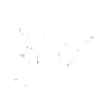 COc1ccc(-c2cncc(C#N)c2)c2nc(C3CC3)nn12